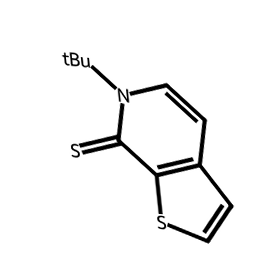 CC(C)(C)n1ccc2ccsc2c1=S